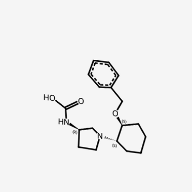 O=C(O)N[C@@H]1CCN([C@H]2CCCC[C@@H]2OCc2ccccc2)C1